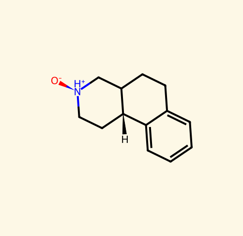 [O-][N@@H+]1CC[C@H]2c3ccccc3CCC2C1